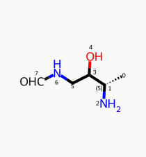 C[C@H](N)C(O)CNC=O